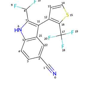 N#Cc1ccc2[nH]c(C(F)F)c(-c3ccsc3C(F)(F)F)c2c1